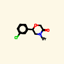 CC(C)N1CC(c2cccc(Cl)c2)OCC1=O